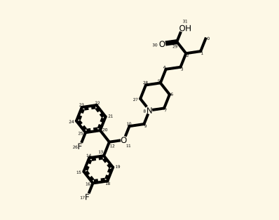 CCC(CCC1CCN(CCOC(c2ccc(F)cc2)c2ccccc2F)CC1)C(=O)O